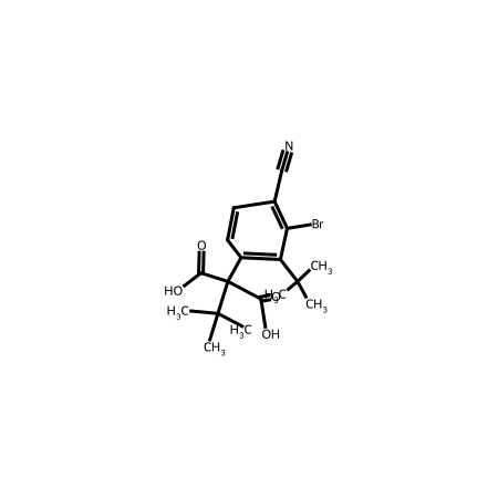 CC(C)(C)c1c(C(C(=O)O)(C(=O)O)C(C)(C)C)ccc(C#N)c1Br